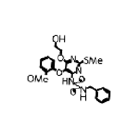 COc1ccccc1Oc1c(NS(=O)(=O)NCc2ccccc2)nc(SC)nc1OCCO